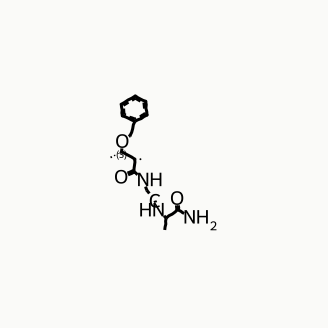 CC(NCCNC(=O)[CH][C@H](C)OCc1ccccc1)C(N)=O